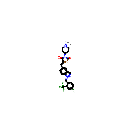 CN1CCC(N2C(=O)SC(=Cc3ccc4c(cnn4Cc4ccc(Cl)cc4C(F)(F)F)c3)C2=O)CC1